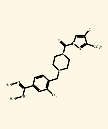 N/N=C(\NN)c1ccc(CN2CCN(C(=O)n3cc(Cl)c(C(=O)O)n3)CC2)c(C(F)(F)F)c1